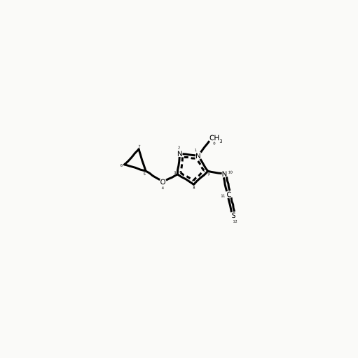 Cn1nc(OC2CC2)cc1N=C=S